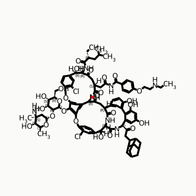 CCNCCOc1ccc(C(=O)NC(=O)C[C@@H]2CC(=O)[C@H](NC(=O)[C@H](CC)CC(C)C)[C@H](O)c3ccc(c(Cl)c3)Oc3cc4cc(c3O[C@@H]3O[C@H](CO)[C@@H](O)[C@H](O)[C@H]3O[C@H]3C[C@](C)(N)[C@H](O)[C@H](C)O3)Oc3ccc(cc3Cl)[C@@H](O)[C@@H]3NC(=O)[C@H](CC(=O)[C@@H]4NC2=O)c2ccc(O)c(c2)-c2c(O)cc(O)cc2[C@@H](C(=O)CC2C4CC5CC(C4)CC2C5)NC3=O)cc1